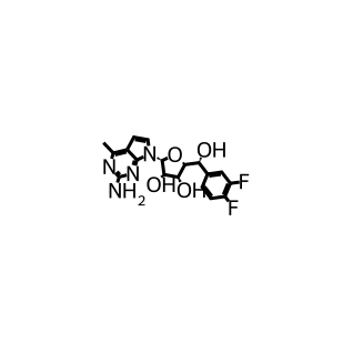 Cc1nc(N)nc2c1ccn2[C@@H]1O[C@H]([C@H](O)c2ccc(F)c(F)c2)[C@@H](O)[C@H]1O